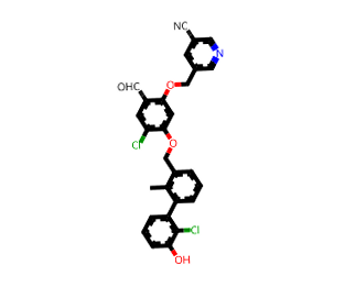 Cc1c(COc2cc(OCc3cncc(C#N)c3)c(C=O)cc2Cl)cccc1-c1cccc(O)c1Cl